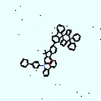 CC1(C)c2cc(-c3ccc4c(c3)C3(c5ccccc5-4)c4ccccc4C(c4ccccc4)(c4ccccc4)c4ccccc43)ccc2-c2ccc(N(c3ccc(-c4ccccc4)cc3)c3ccccc3-c3ccccc3)cc21